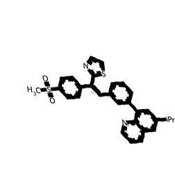 CC(C)c1cc(-c2cccc(/C=C(/c3ccc(S(C)(=O)=O)cc3)c3nccs3)c2)c2ncccc2c1